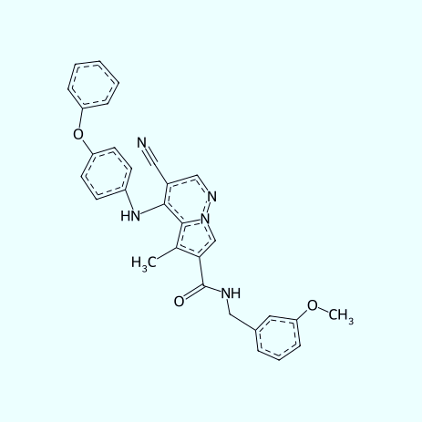 COc1cccc(CNC(=O)c2cn3ncc(C#N)c(Nc4ccc(Oc5ccccc5)cc4)c3c2C)c1